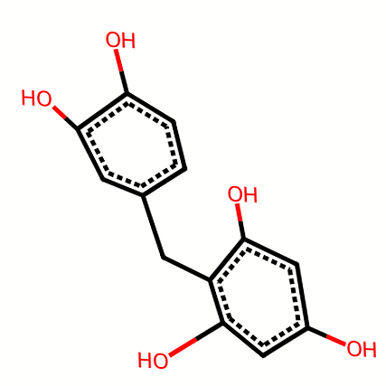 Oc1cc(O)c(Cc2ccc(O)c(O)c2)c(O)c1